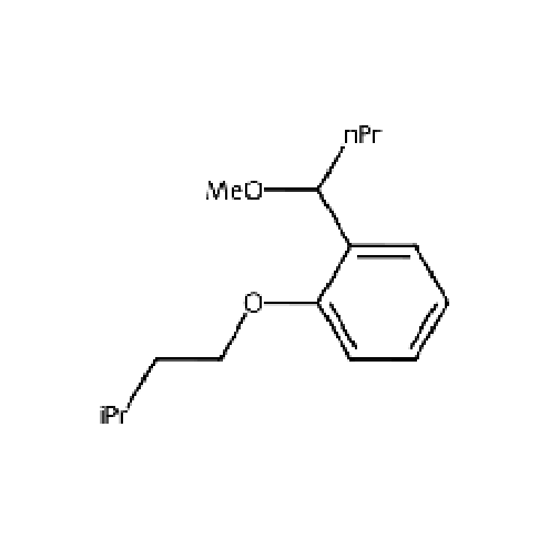 CCCC(OC)c1ccccc1OCCC(C)C